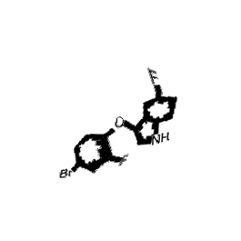 Fc1ccc2[nH]cc(Oc3ccc(Br)cc3F)c2c1